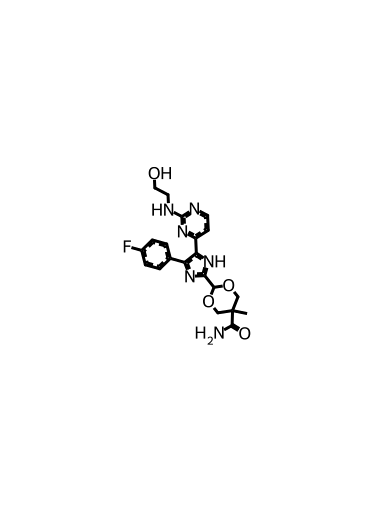 CC1(C(N)=O)COC(c2nc(-c3ccc(F)cc3)c(-c3ccnc(NCCO)n3)[nH]2)OC1